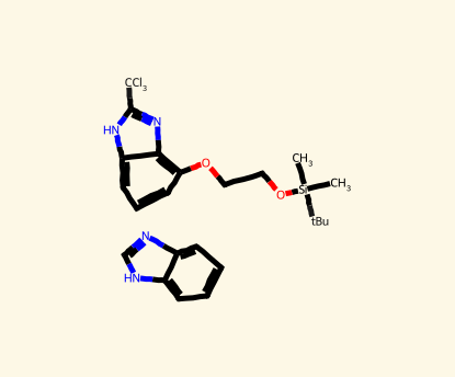 CC(C)(C)[Si](C)(C)OCCOc1cccc2[nH]c(C(Cl)(Cl)Cl)nc12.c1ccc2[nH]cnc2c1